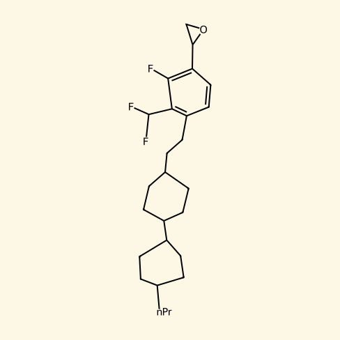 CCCC1CCC(C2CCC(CCc3ccc(C4CO4)c(F)c3C(F)F)CC2)CC1